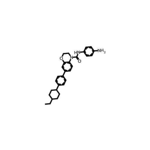 CCC1CCC(c2ccc(-c3ccc4c(c3)OCCN4C(=O)Nc3ccc(N)cc3)cc2)CC1